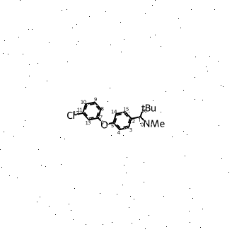 CNC(c1ccc(Oc2cccc(Cl)c2)cc1)C(C)(C)C